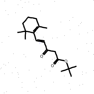 CC1=C(/C=C/C(=O)CC(=O)OC(C)(C)C)C(C)(C)CCC1